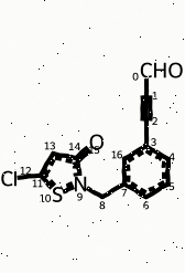 O=CC#Cc1cccc(Cn2sc(Cl)cc2=O)c1